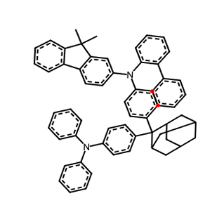 CC1(C)c2ccccc2-c2ccc(N(c3ccc(C4(c5ccc(N(c6ccccc6)c6ccccc6)cc5)C5CC6CC(C5)CC4C6)cc3)c3ccccc3-c3ccccc3)cc21